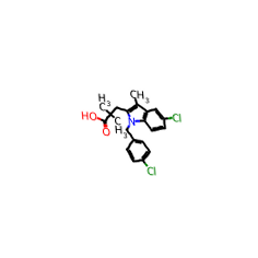 Cc1c(CC(C)(C)C(=O)O)n(Cc2ccc(Cl)cc2)c2ccc(Cl)cc12